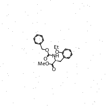 CCOc1ccccc1C[C@H](NC(=O)OCc1ccccc1)C(=O)OC